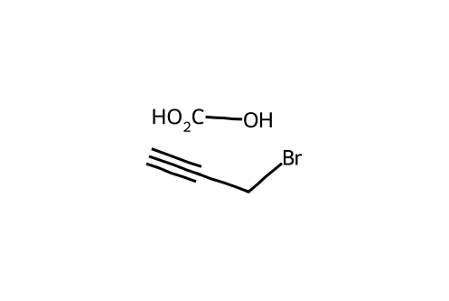 C#CCBr.O=C(O)O